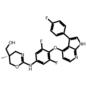 C[C@]1(CO)CN=C(Nc2cc(F)c(Oc3ccnc4[nH]cc(-c5ccc(F)cc5)c34)c(F)c2)OC1